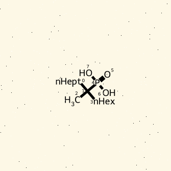 CCCCCCCC(C)(CCCCCC)P(=O)(O)O